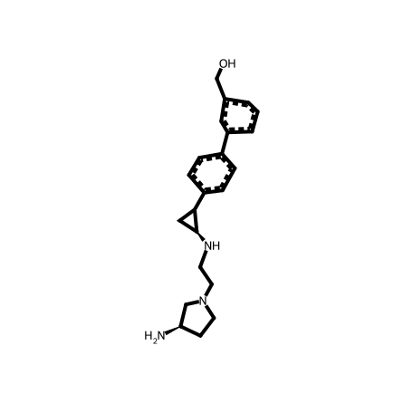 N[C@@H]1CCN(CCN[C@H]2CC2c2ccc(-c3cccc(CO)c3)cc2)C1